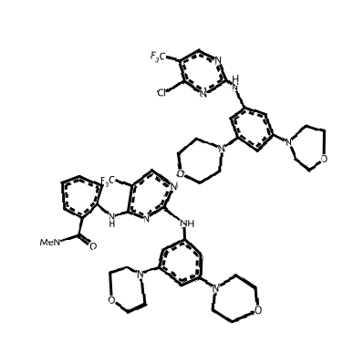 CNC(=O)c1ccccc1Nc1nc(Nc2cc(N3CCOCC3)cc(N3CCOCC3)c2)ncc1C(F)(F)F.FC(F)(F)c1cnc(Nc2cc(N3CCOCC3)cc(N3CCOCC3)c2)nc1Cl